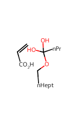 C=CC(=O)O.CCCCCCCCOC(O)(O)CCC